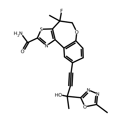 Cc1nnc(C(C)(O)C#Cc2ccc3c(c2)-c2nc(C(N)=O)sc2C(C)(F)CO3)o1